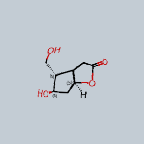 O=C1CC2[C@H](C[C@@H](O)[C@@H]2CO)O1